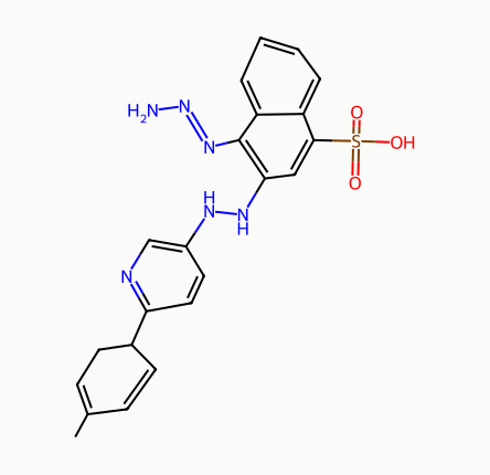 CC1=CCC(c2ccc(NNc3cc(S(=O)(=O)O)c4ccccc4c3N=NN)cn2)C=C1